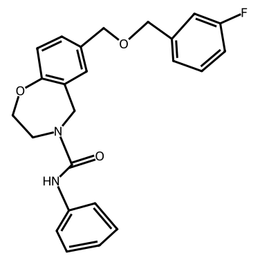 O=C(Nc1ccccc1)N1CCOc2ccc(COCc3cccc(F)c3)cc2C1